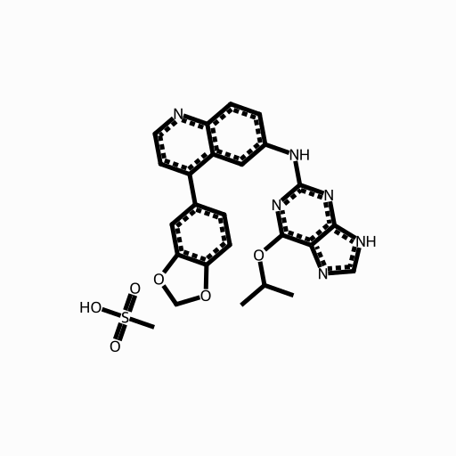 CC(C)Oc1nc(Nc2ccc3nccc(-c4ccc5c(c4)OCO5)c3c2)nc2[nH]cnc12.CS(=O)(=O)O